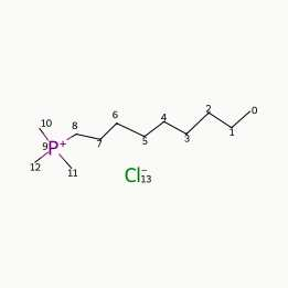 CCCCCCCCC[P+](C)(C)C.[Cl-]